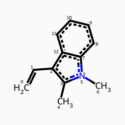 C=Cc1c(C)n(C)c2ccccc12